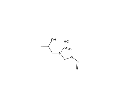 C=CN1C=CN(CC(C)O)C1.Cl